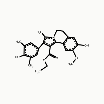 CCOC(=O)c1c(-c2cc(C)c(O)c(C)c2)c(C)n2c1-c1cc(OC)c(O)cc1CC2